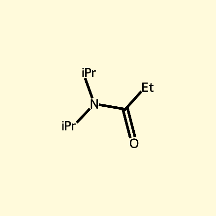 [CH2]CC(=O)N(C(C)C)C(C)C